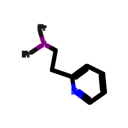 CC(C)P(CCc1ccccn1)C(C)C